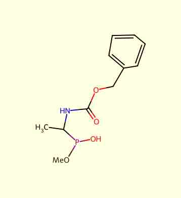 COP(O)C(C)NC(=O)OCc1ccccc1